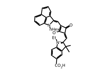 CCCCCCn1c(=CC2=C([O-])C(=CC3=[N+](CC)c4ccc(C(=O)O)cc4C3(C)C)C2=O)c2cccc3cccc1c32